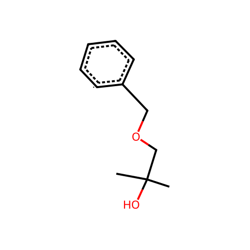 CC(C)(O)COCc1[c]cccc1